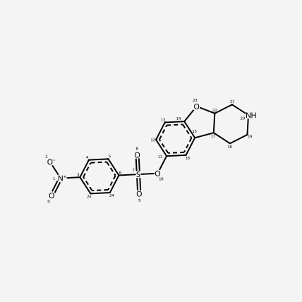 O=[N+]([O-])c1ccc(S(=O)(=O)Oc2ccc3c(c2)C2CCNCC2O3)cc1